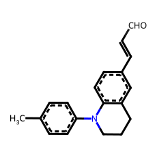 Cc1ccc(N2CCCc3cc(/C=C/C=O)ccc32)cc1